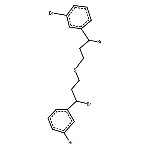 Brc1cccc(C(Br)CCSCCC(Br)c2cccc(Br)c2)c1